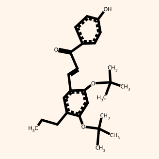 CCCc1cc(C=CC(=O)c2ccc(O)cc2)c(OC(C)(C)C)cc1OC(C)(C)C